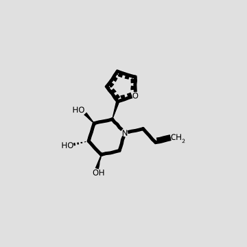 C=CCN1C[C@@H](O)[C@H](O)[C@@H](O)[C@H]1c1ccco1